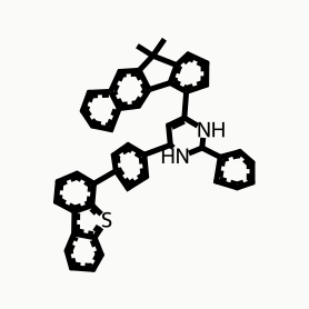 CC1(C)c2cc3ccccc3cc2-c2c(C3=CC(c4ccc(-c5cccc6c5sc5ccccc56)cc4)NC(c4ccccc4)N3)cccc21